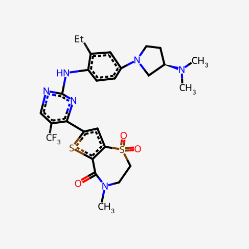 CCc1cc(N2CC[C@@H](N(C)C)C2)ccc1Nc1ncc(C(F)(F)F)c(-c2cc3c(s2)C(=O)N(C)CCS3(=O)=O)n1